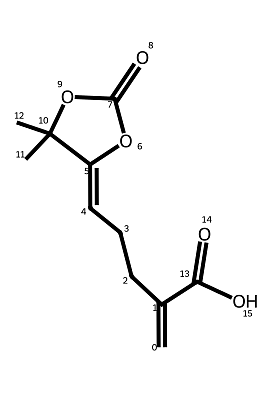 C=C(CCC=C1OC(=O)OC1(C)C)C(=O)O